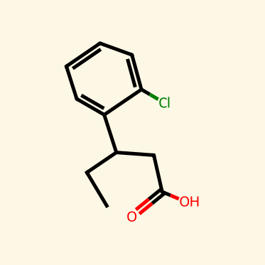 CCC(CC(=O)O)c1ccccc1Cl